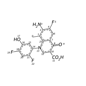 Cc1c(N)c(F)cc2c(=O)c(C(=O)O)cn(-c3cc(O)c(F)cc3F)c12